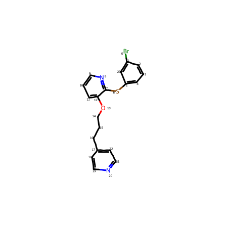 Brc1cccc(Sc2ncccc2OCCCc2ccncc2)c1